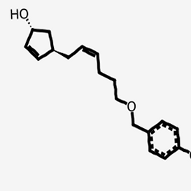 COc1ccc(COCCC/C=C\C[C@H]2C=C[C@H](O)C2)cc1